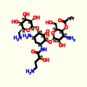 [CH2]CCC(=O)O[C@H]1[C@@H](N)[C@@H](O)[C@H](O[C@@H]2[C@H](O)[C@H](O[C@H]3O[C@H](CN)[C@@H](O)[C@@H](O)[C@@H]3O)[C@@H](N)C[C@H]2NC(=O)[C@@H](O)CCN)O[C@H]1CO